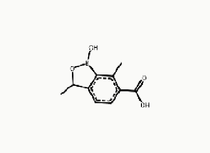 Cc1c(C(=O)O)ccc2c1B(O)OC2C